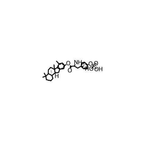 Cc1cc(OC(=O)C(N)Cc2ccc(OP(=O)(O)O)cc2)cc2c1C1(C)CCC3C(C)(C)CCC[C@]3(C)[C@H]1C2